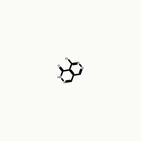 CCc1nncc2cn[nH]c(=O)c12